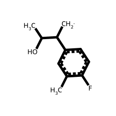 [CH2]C(c1ccc(F)c(C)c1)C(C)O